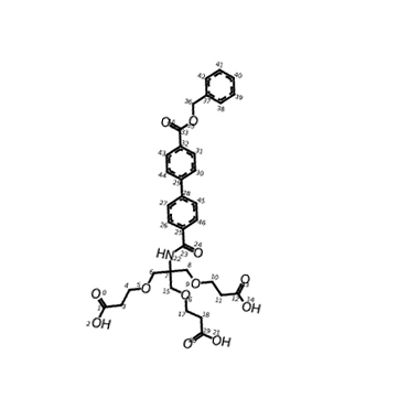 O=C(O)CCOCC(COCCC(=O)O)(COCCC(=O)O)NC(=O)c1ccc(-c2ccc(C(=O)OCc3ccccc3)cc2)cc1